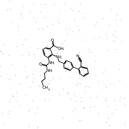 CCCCNC(=O)Nc1cccc(C(=O)O)c1NCc1ccc(-c2ccccc2C#N)cc1